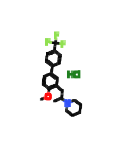 COc1ccc(-c2ccc(C(F)(F)F)cc2)cc1CC(C)N1CCCCC1.Cl